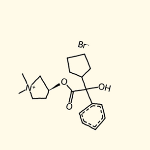 C[N+]1(C)CC[C@H](OC(=O)C(O)(c2ccccc2)C2CCCC2)C1.[Br-]